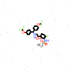 CS(=O)(=O)Nc1cc(C(O)CNC(c2ccc(OC(F)F)cc2)c2ccc(OC(F)F)cc2)ccc1F